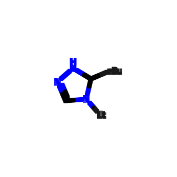 CCCCC1NN=CN1CC